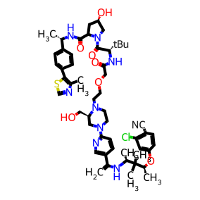 C=C(N[C@@H](C)C(C)(C)[C@H](C)Oc1ccc(C#N)c(Cl)c1)c1ccc(N2CCN(CCOCC(=O)N[C@H](C(=O)N3C[C@H](O)CC3C(=O)N[C@@H](C)c3ccc(-c4scnc4C)cc3)C(C)(C)C)[C@H](CO)C2)nc1